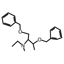 CCN(C)C(COCc1ccccc1)C(C)OCc1ccccc1